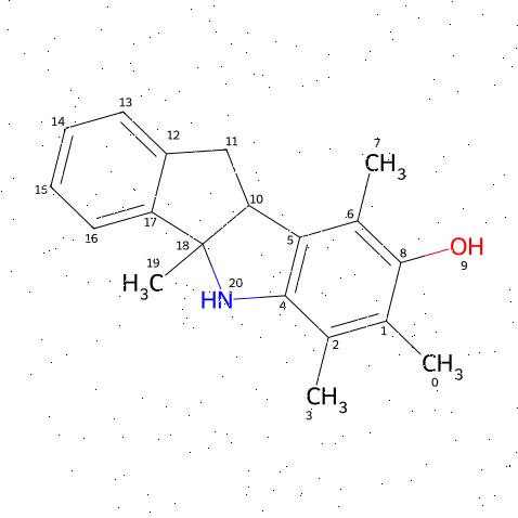 Cc1c(C)c2c(c(C)c1O)C1Cc3ccccc3C1(C)N2